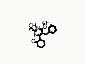 COc1nc(OC)c(Cc2ccccc2)c(C2CCCCC2=O)n1